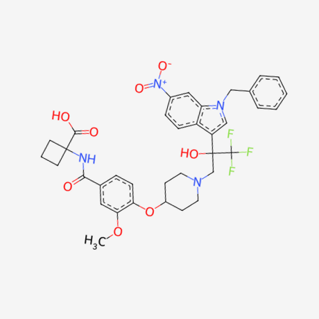 COc1cc(C(=O)NC2(C(=O)O)CCC2)ccc1OC1CCN(CC(O)(c2cn(Cc3ccccc3)c3cc([N+](=O)[O-])ccc23)C(F)(F)F)CC1